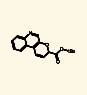 CC(C)(C)OC(=O)C1C=Cc2c(cnc3ccccc23)O1